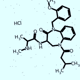 CNC(C)C(=O)NC1CN(C(=O)CC(C)C)c2ccccc2N(Cc2ccccc2OC)C1=O.Cl